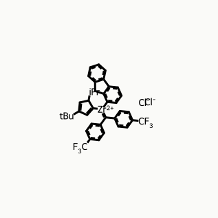 CC(C)C1C=C(C(C)(C)C)C=[C]1[Zr+2](=[C](c1ccc(C(F)(F)F)cc1)c1ccc(C(F)(F)F)cc1)[c]1cccc2c1Cc1ccccc1-2.[Cl-].[Cl-]